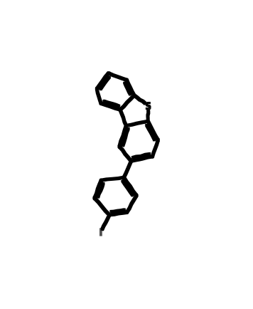 Ic1ccc(-c2ccc3sc4ccccc4c3c2)cc1